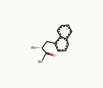 CC(C)(C)C(=O)[C@@H](Cc1cccc2ccccc12)C(C)(C)C